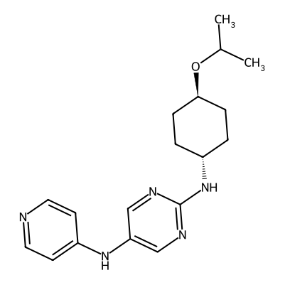 CC(C)O[C@H]1CC[C@H](Nc2ncc(Nc3ccncc3)cn2)CC1